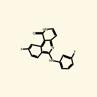 O=c1[nH]ccc2nc(Nc3cccc(F)c3)c3ccc(F)cc3c12